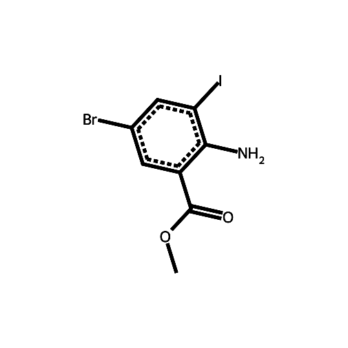 COC(=O)c1cc(Br)cc(I)c1N